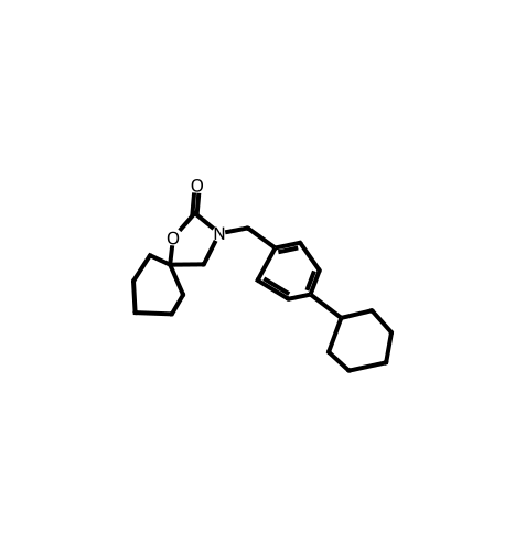 O=C1OC2(CCCCC2)CN1Cc1ccc(C2CCCCC2)cc1